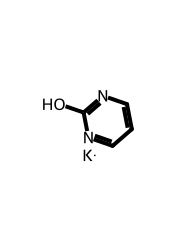 Oc1ncccn1.[K]